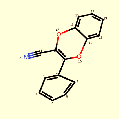 N#CC1=C(c2ccccc2)Oc2ccccc2O1